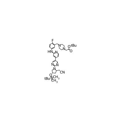 CC(C)(C)OC(=O)CN1CCN(Cc2cc(Nc3cc(-c4cnc(N5CC(O[Si](C)(C)C(C)(C)C)CC5CC#N)nc4)ccn3)ccc2F)CC1